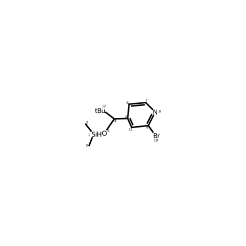 C[SiH](C)OC(c1ccnc(Br)c1)C(C)(C)C